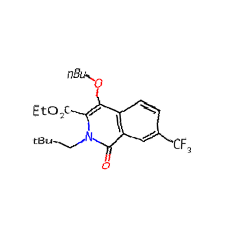 CCCCOc1c(C(=O)OCC)n(CC(C)(C)C)c(=O)c2cc(C(F)(F)F)ccc12